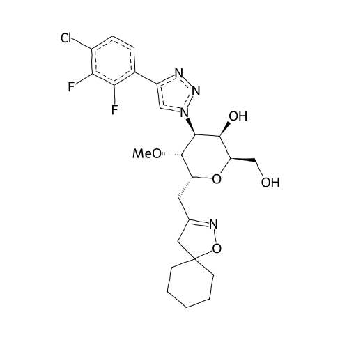 CO[C@@H]1[C@@H](n2cc(-c3ccc(Cl)c(F)c3F)nn2)[C@@H](O)[C@@H](CO)O[C@@H]1CC1=NOC2(CCCCC2)C1